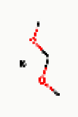 COCOC.[K]